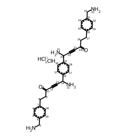 Cl.Cl.NCc1ccc(CCC(=O)C#CC(N)c2ccc(C(N)C#CC(=O)CCc3ccc(CN)cc3)cc2)cc1